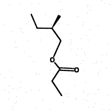 CCC(=O)OC[C@H](C)CC